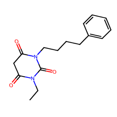 CCN1C(=O)CC(=O)N(CCCCc2ccccc2)C1=O